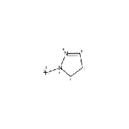 [2H]N1CCC=N1